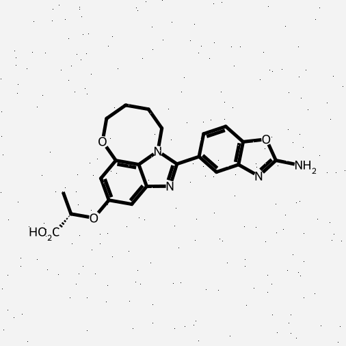 C[C@H](Oc1cc2c3c(c1)nc(-c1ccc4oc(N)nc4c1)n3CCCCO2)C(=O)O